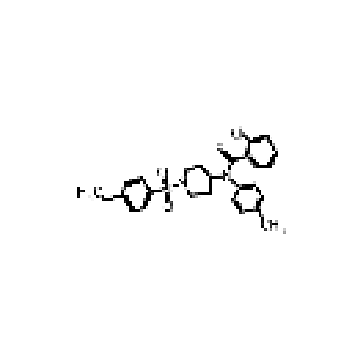 CCc1ccc(S(=O)(=O)N2CCC(N(C(=S)c3ccccc3Cl)c3ccc(C)cc3)CC2)cc1